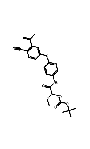 C=C(C)c1cc(Oc2ccc(NC(=O)[C@@H](CC)NC(=O)OC(C)(C)C)cn2)ccc1C#N